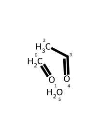 C=O.CC=O.O